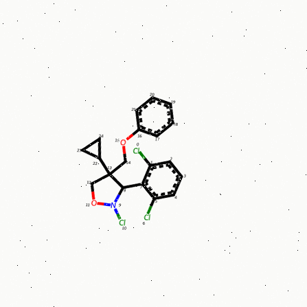 Clc1cccc(Cl)c1C1N(Cl)OCC1(COc1ccccc1)C1CC1